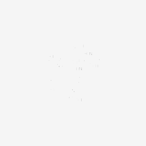 COCCCOc1cc(CC(CC2C(CC(C(=O)NCC(C)(C)C(N)=O)C(C)C)OCN2C(=O)O)C(C)C)ccc1OC